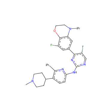 CC(C)c1nc(Nc2ncc(F)c(-c3cc(F)c4c(c3)N(C(C)C)CCO4)n2)ccc1C1CCN(C)CC1